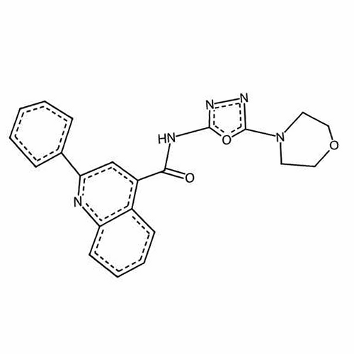 O=C(Nc1nnc(N2CCOCC2)o1)c1cc(-c2ccccc2)nc2ccccc12